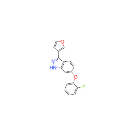 Fc1ccccc1Oc1ccc2c(-c3ccoc3)n[nH]c2c1